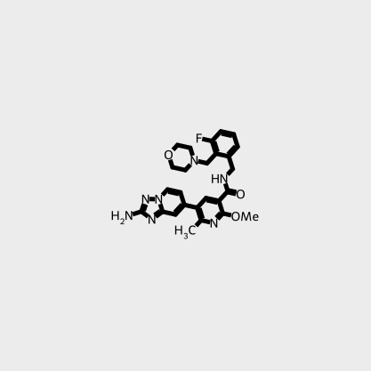 COc1nc(C)c(-c2ccn3nc(N)nc3c2)cc1C(=O)NCc1cccc(F)c1CN1CCOCC1